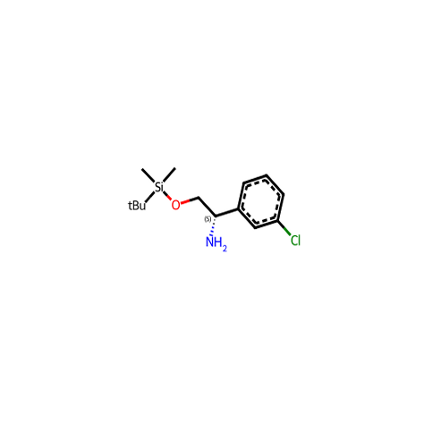 CC(C)(C)[Si](C)(C)OC[C@@H](N)c1cccc(Cl)c1